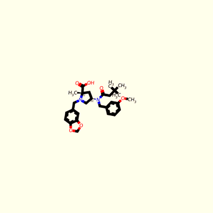 COc1cccc(CN(C(=O)CC(C)(C)C)[C@@H]2CN(Cc3ccc4c(c3)OCO4)[C@](C)(C(=O)O)C2)c1